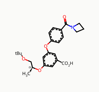 C[C@@H](COC(C)(C)C)Oc1cc(Oc2ccc(C(=O)N3CCC3)cc2)cc(C(=O)O)c1